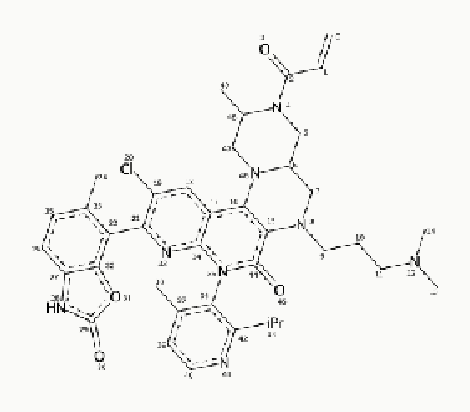 C=CC(=O)N1CC2CN(CCCN(C)C)c3c(c4cc(Cl)c(-c5c(C)ccc6[nH]c(=O)oc56)nc4n(-c4c(C)ccnc4C(C)C)c3=O)N2CC1C